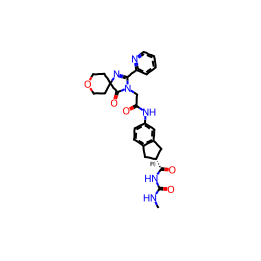 CNC(=O)NC(=O)[C@@H]1Cc2ccc(NC(=O)CN3C(=O)C4(CCOCC4)N=C3c3ccccn3)cc2C1